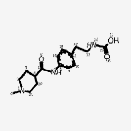 CN1CCC(C(=O)Nc2ccc(CCNC(=O)O)cc2)CC1